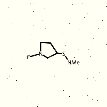 CNSC1CCN(F)C1